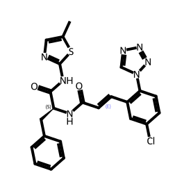 Cc1cnc(NC(=O)[C@H](Cc2ccccc2)NC(=O)/C=C/c2cc(Cl)ccc2-n2cnnn2)s1